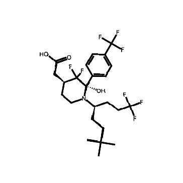 CC(C)(C)CC[C@H](CCC(F)(F)F)N1CC[C@@H](CC(=O)O)C(F)(F)[C@@]1(O)c1ccc(C(F)(F)F)cc1